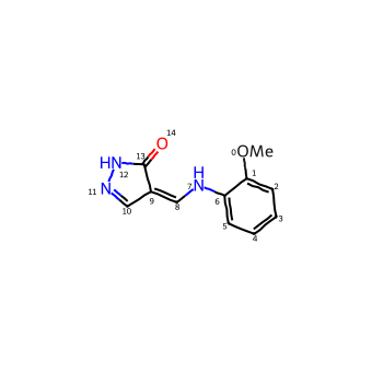 COc1ccccc1N/C=C1/C=NNC1=O